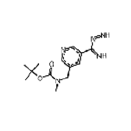 CN(Cc1cncc(C(=N)N=N)c1)C(=O)OC(C)(C)C